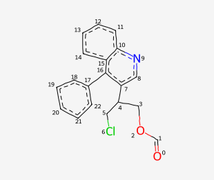 O=COCC(CCl)c1cnc2ccccc2c1-c1ccccc1